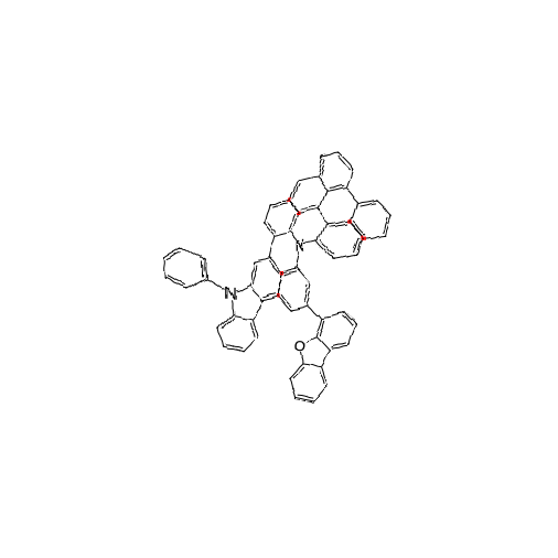 c1ccc(-c2cccc3cccc(-c4ccccc4N(c4cccc(-c5cccc6c5oc5ccccc56)c4)c4ccccc4-c4ccc5c6ccccc6n(-c6ccccc6)c5c4)c23)cc1